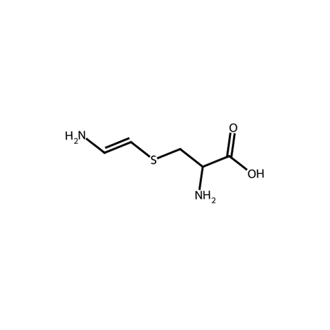 NC=CSCC(N)C(=O)O